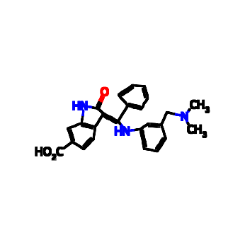 CN(C)Cc1cccc(NC(=C2C(=O)Nc3cc(C(=O)O)ccc32)c2ccccc2)c1